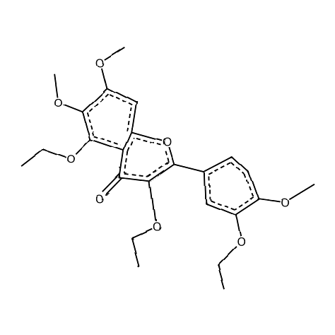 CCOc1cc(-c2oc3cc(OC)c(OC)c(OCC)c3c(=O)c2OCC)ccc1OC